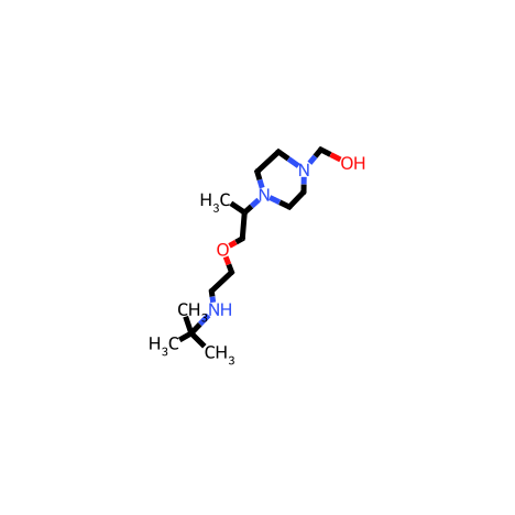 CC(COCCNC(C)(C)C)N1CCN(CO)CC1